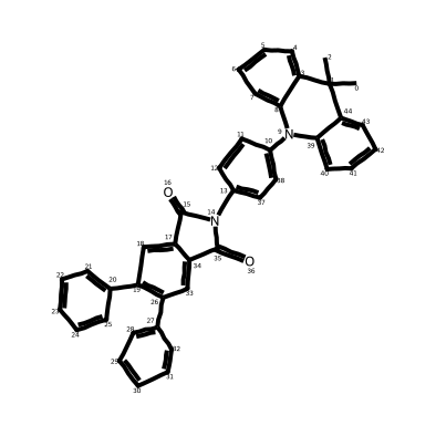 CC1(C)c2ccccc2N(c2ccc(N3C(=O)c4cc(-c5ccccc5)c(-c5ccccc5)cc4C3=O)cc2)c2ccccc21